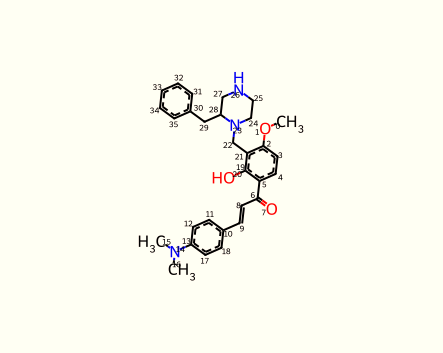 COc1ccc(C(=O)/C=C/c2ccc(N(C)C)cc2)c(O)c1CN1CCNCC1Cc1ccccc1